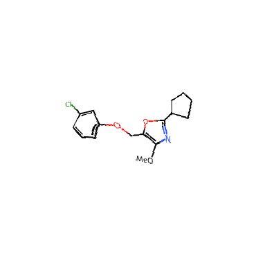 COc1nc(C2CCCC2)oc1COc1[c]c(Cl)ccc1